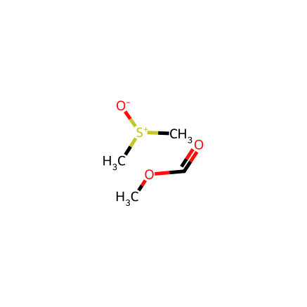 COC=O.C[S+](C)[O-]